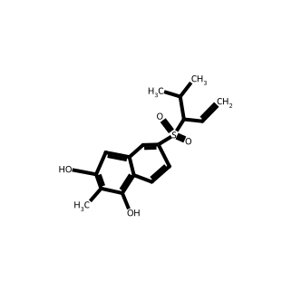 C=CC(C(C)C)S(=O)(=O)c1ccc2c(O)c(C)c(O)cc2c1